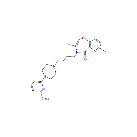 COc1cccc(N2CCN(CCCCN3C(=O)c4cc(C)ccc4OC=C3C)CC2)n1